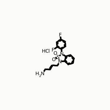 Cl.NCC=CCN1c2ccccc2N(c2ccc(F)cc2F)S1(=O)=O